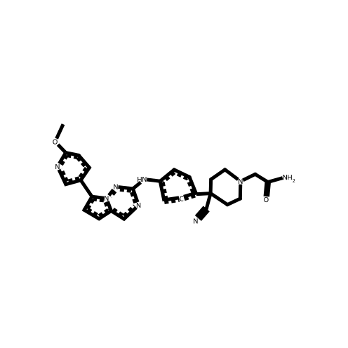 COc1ccc(-c2ccc3cnc(Nc4ccc(C5(C#N)CCN(CC(N)=O)CC5)cc4)nn23)cn1